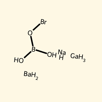 OB(O)OBr.[BaH2].[GaH3].[NaH]